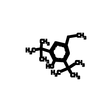 CCc1cc(C(C)(C)C)c(O)c(C(C)(C)C)c1